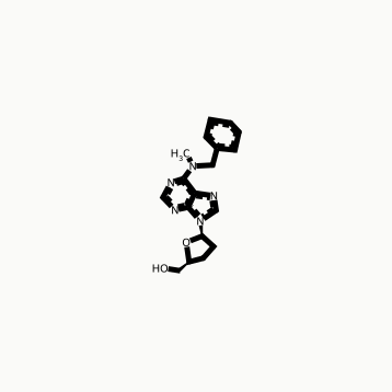 CN(Cc1ccccc1)c1ncnc2c1ncn2[C@H]1CC[C@@H](CO)O1